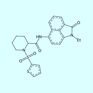 CCN1C(=O)c2cccc3c(NC(=O)C4CCCCN4S(=O)(=O)c4cccs4)ccc1c23